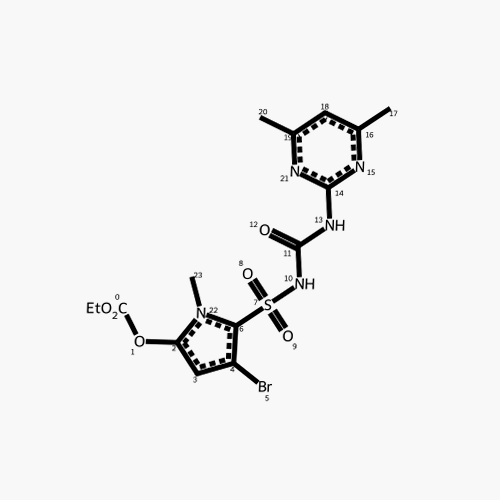 CCOC(=O)Oc1cc(Br)c(S(=O)(=O)NC(=O)Nc2nc(C)cc(C)n2)n1C